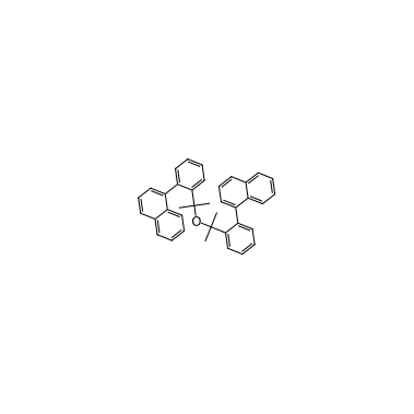 CC(C)(OC(C)(C)c1ccccc1-c1cccc2ccccc12)c1ccccc1-c1cccc2ccccc12